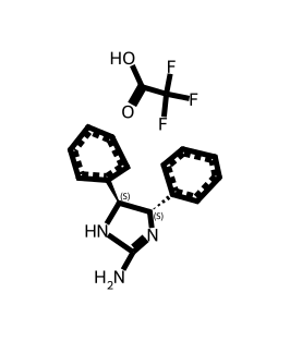 NC1=N[C@@H](c2ccccc2)[C@H](c2ccccc2)N1.O=C(O)C(F)(F)F